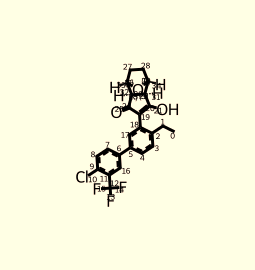 CCc1ccc(-c2ccc(Cl)c(C(F)(F)F)c2)cc1C1=C(O)[C@H]2[C@@H](C1=O)[C@@H]1CC[C@H]2O1